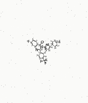 O=c1c2ccc(F)cc2nc(-c2ccc(C(F)(F)F)cc2)n1-c1nc(-c2ccc(F)cc2)cs1